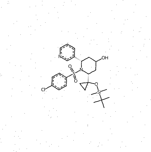 CC(C)(C)[Si](C)(C)OC1([C@H]2CC(O)C[C@@H](c3cccnc3)N2S(=O)(=O)c2ccc(Cl)cc2)CC1